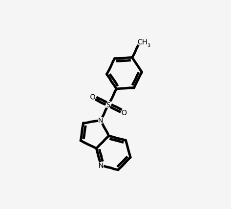 Cc1ccc(S(=O)(=O)n2ccc3ncccc32)cc1